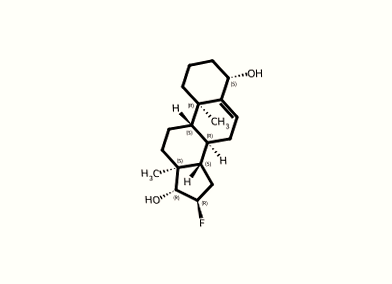 C[C@]12CC[C@H]3[C@@H](CC=C4[C@@H](O)CCC[C@@]43C)[C@@H]1C[C@@H](F)[C@@H]2O